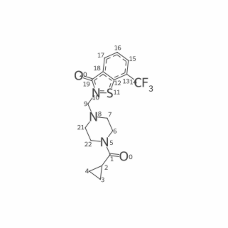 O=C(C1CC1)N1CCN(Cn2sc3c(C(F)(F)F)cccc3c2=O)CC1